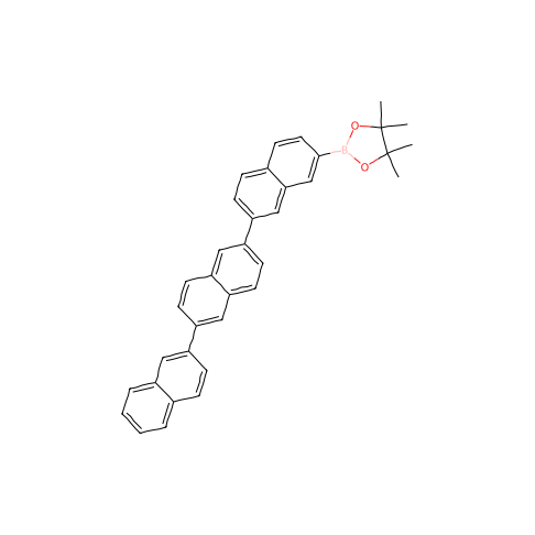 CC1(C)OB(c2ccc3ccc(-c4ccc5cc(-c6ccc7ccccc7c6)ccc5c4)cc3c2)OC1(C)C